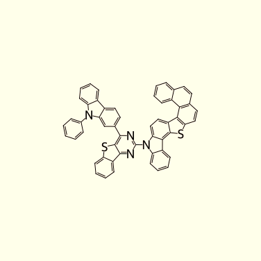 c1ccc(-n2c3ccccc3c3ccc(-c4nc(-n5c6ccccc6c6c7sc8ccc9ccc%10ccccc%10c9c8c7ccc65)nc5c4sc4ccccc45)cc32)cc1